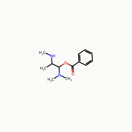 CNC(C)C(OC(=O)c1ccccc1)N(C)C